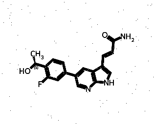 C[C@H](O)c1ccc(-c2cnc3[nH]cc(C=CC(N)=O)c3c2)cc1F